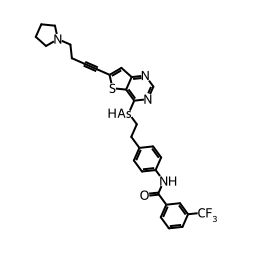 O=C(Nc1ccc(CC[AsH]c2ncnc3cc(C#CCCN4CCCC4)sc23)cc1)c1cccc(C(F)(F)F)c1